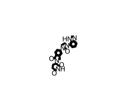 O=C1CCC(N2Cc3cc(N4CCN(c5cccc6nc[nH]c56)C4=O)ccc3C2=O)C(=O)N1